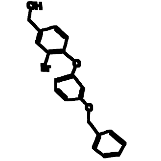 OCc1ccc(Oc2cccc(OCc3ccccc3)c2)c(Br)c1